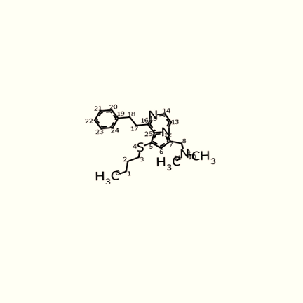 CCCCSc1cc(CN(C)C)n2ccnc(CCc3ccccc3)c12